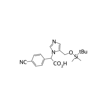 CC(C)(C)[Si](C)(C)OCc1cncn1C(C(=O)O)c1ccc(C#N)cc1